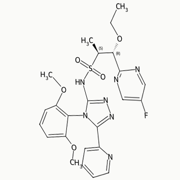 CCO[C@H](c1ncc(F)cn1)[C@H](C)S(=O)(=O)Nc1nnc(-c2ccccn2)n1-c1c(OC)cccc1OC